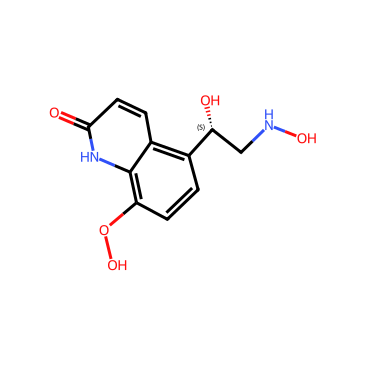 O=c1ccc2c([C@H](O)CNO)ccc(OO)c2[nH]1